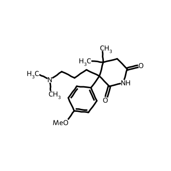 COc1ccc(C2(CCCN(C)C)C(=O)NC(=O)CC2(C)C)cc1